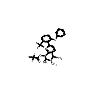 CN1C(N)c2ccc(-c3c(Oc4ccccc4)cccc3C(F)(F)F)nc2N(OC(=O)C(F)(F)F)C1N